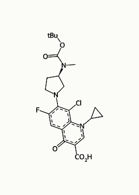 CN(C(=O)OC(C)(C)C)[C@@H]1CCN(c2c(F)cc3c(=O)c(C(=O)O)cn(C4CC4)c3c2Cl)C1